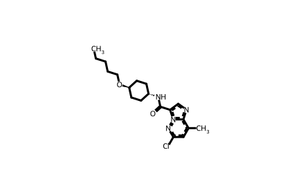 CCCCCO[C@H]1CC[C@H](NC(=O)c2cnc3c(C)cc(Cl)nn23)CC1